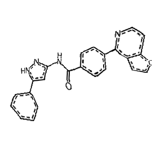 O=C(Nc1cc(-c2ccccc2)[nH]n1)c1ccc(-c2nccc3occc23)cc1